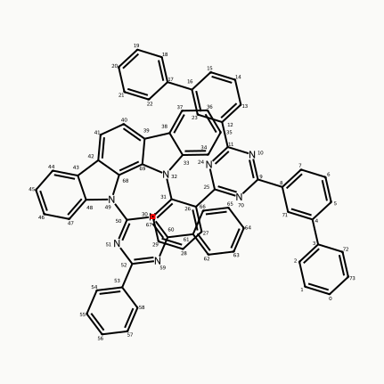 c1ccc(-c2cccc(-c3nc(-c4cccc(-c5ccccc5)c4)nc(-c4ccccc4-n4c5ccccc5c5ccc6c7ccccc7n(-c7nc(-c8ccccc8)nc(-c8ccccc8)n7)c6c54)n3)c2)cc1